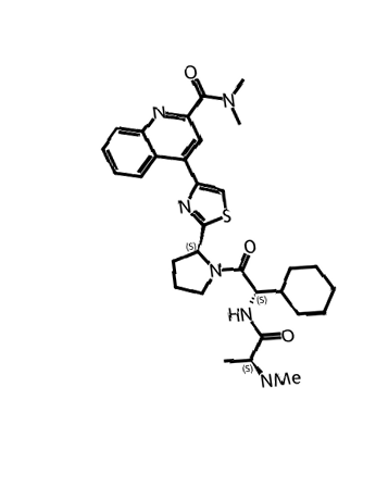 CN[C@@H](C)C(=O)N[C@H](C(=O)N1CCC[C@H]1c1nc(-c2cc(C(=O)N(C)C)nc3ccccc23)cs1)C1CCCCC1